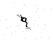 C=CCC1=CC2CC1CC2N